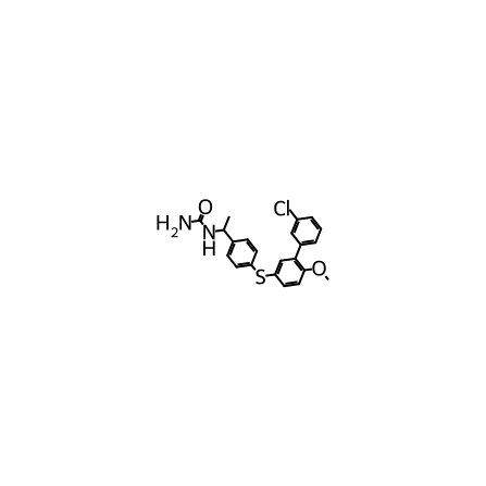 COc1ccc(Sc2ccc(C(C)NC(N)=O)cc2)cc1-c1cccc(Cl)c1